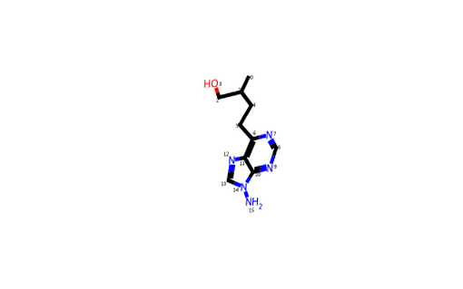 CC(CO)CCc1ncnc2c1ncn2N